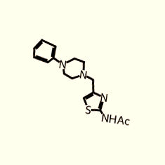 CC(=O)Nc1nc(CN2CCN(c3ccccc3)CC2)cs1